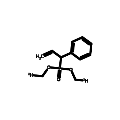 [2H]COP(=O)(OC[2H])C(C=C)c1ccccc1